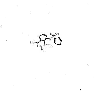 CC(C)c1cccc(OP(=O)(O)c2ccccc2)c1C(C)C